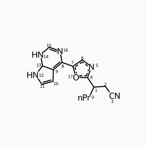 CCCC(CC#N)c1ncc(C2=C3C=CNC3NC=N2)o1